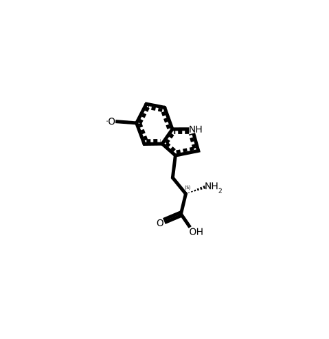 N[C@@H](Cc1c[nH]c2ccc([O])cc12)C(=O)O